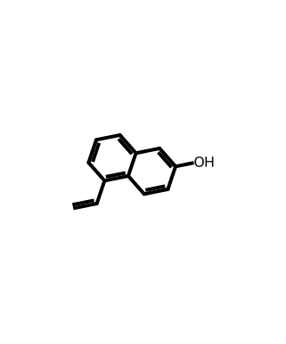 C=Cc1cccc2cc(O)ccc12